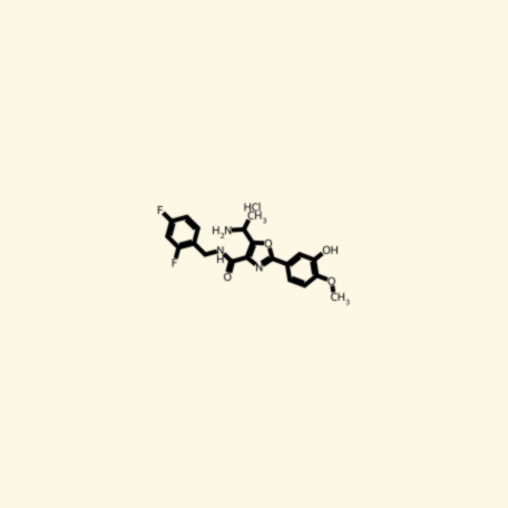 COc1ccc(-c2nc(C(=O)NCc3ccc(F)cc3F)c(C(C)N)o2)cc1O.Cl